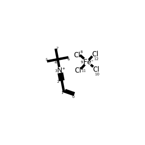 C=CC#[N+]C(C)(C)C.[Cl][Fe-]([Cl])([Cl])[Cl]